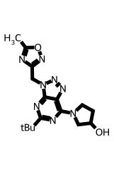 Cc1nc(Cn2nnc3c(N4CCC(O)C4)nc(C(C)(C)C)nc32)no1